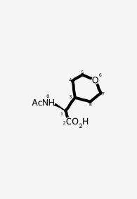 CC(=O)N[C@H](C(=O)O)C1CCOCC1